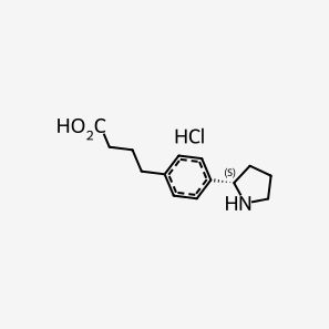 Cl.O=C(O)CCCc1ccc([C@@H]2CCCN2)cc1